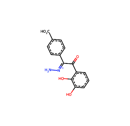 N/N=C(/C(=O)c1cccc(O)c1O)c1ccc(C(=O)O)cc1